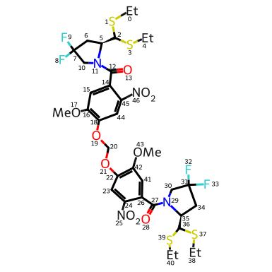 CCSC(SCC)[C@@H]1CC(F)(F)CN1C(=O)c1cc(OC)c(OCOc2cc([N+](=O)[O-])c(C(=O)N3CC(F)(F)C[C@H]3C(SCC)SCC)cc2OC)cc1[N+](=O)[O-]